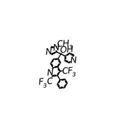 Cn1cncc1C(O)(c1ccncc1)c1ccc2nc(C(F)(F)F)c(-c3ccccc3)c(C(F)(F)F)c2c1